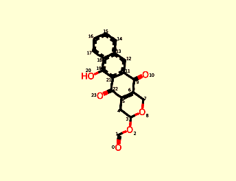 O=COC1CC2=C(CO1)C(=O)c1cc3ccccc3c(O)c1C2=O